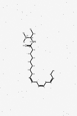 CC/C=C\C/C=C\C/C=C\CCCCCCCC(=O)NC(CC)N(C)C